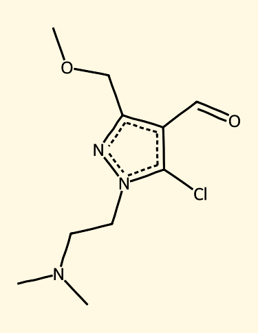 COCc1nn(CCN(C)C)c(Cl)c1C=O